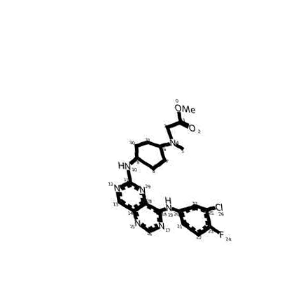 COC(=O)CN(C)C1CCC(Nc2ncc3ncnc(Nc4ccc(F)c(Cl)c4)c3n2)CC1